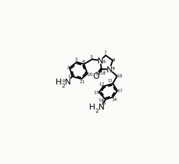 Nc1ccc(CN2CCN(Cc3ccc(N)cc3)C2=O)cc1